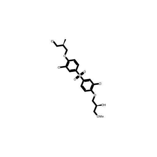 COC[C@H](O)COc1ccc(S(=O)(=O)c2ccc(OC[C@H](C)CCl)c(Cl)c2)cc1Cl